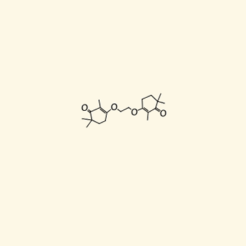 CC1=C(OCCOC2=C(C)C(=O)C(C)(C)CC2)CCC(C)(C)C1=O